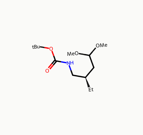 CC[C@@H](CNC(=O)OC(C)(C)C)CC(OC)OC